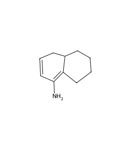 NC1=C2CCCCC2CC=C1